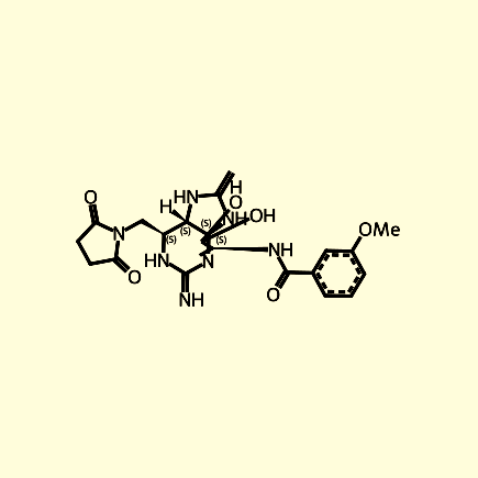 C=C1N[C@H]2[C@H](CN3C(=O)CCC3=O)NC(=N)N3C[C@H](NC(=O)c4cccc(OC)c4)C(O)(O)[C@]23N1